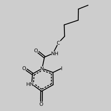 CCCCCCNC(=O)n1c(I)cc(=O)[nH]c1=O